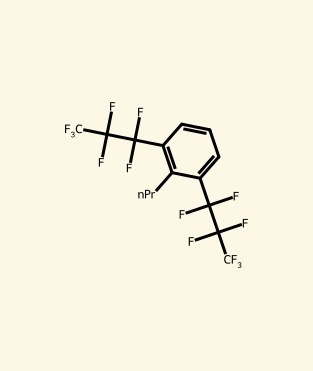 C[CH]Cc1c(C(F)(F)C(F)(F)C(F)(F)F)cccc1C(F)(F)C(F)(F)C(F)(F)F